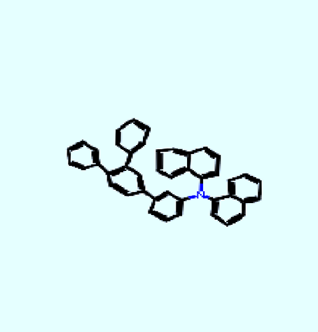 c1ccc(-c2ccc(-c3cccc(N(c4cccc5ccccc45)c4cccc5ccccc45)c3)cc2-c2ccccc2)cc1